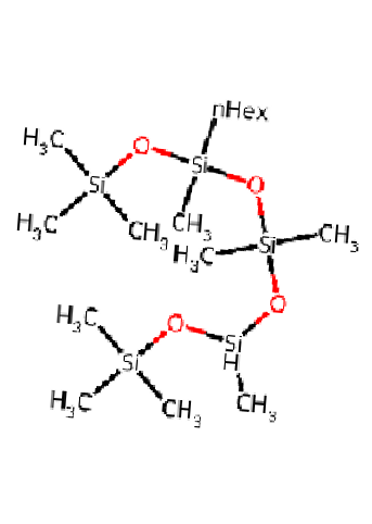 CCCCCC[Si](C)(O[Si](C)(C)C)O[Si](C)(C)O[SiH](C)O[Si](C)(C)C